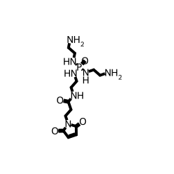 NCCNP(=O)(NCCN)NCCNC(=O)CCN1C(=O)C=CC1=O